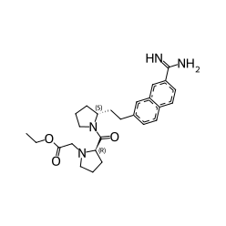 CCOC(=O)CN1CCC[C@@H]1C(=O)N1CCC[C@@H]1CCc1ccc2ccc(C(=N)N)cc2c1